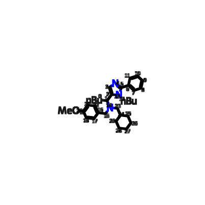 CCCCC(c1cnc(-c2ccccc2)n1CCCC)N(Cc1ccc(OC)cc1)CC1CCCCC1